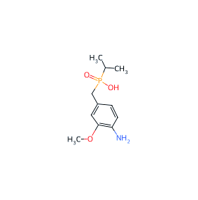 COc1cc(CP(=O)(O)C(C)C)ccc1N